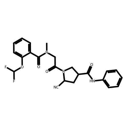 CN(CC(=O)N1CC(C(=O)Nc2ccccc2)CC1C#N)C(=O)c1ccccc1OC(F)F